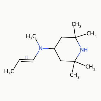 C/C=C/N(C)C1CC(C)(C)NC(C)(C)C1